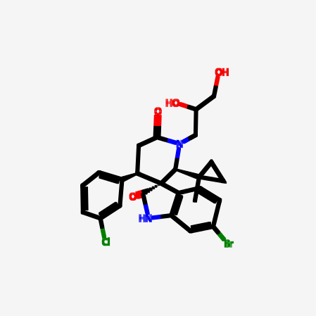 CC1([C@@H]2N(CC(O)CO)C(=O)C[C@H](c3cccc(Cl)c3)[C@@]23C(=O)Nc2cc(Br)ccc23)CC1